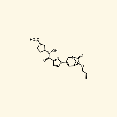 C=CCON1C(=O)N2CC(n3ccc(C(=O)N(O)[C@H]4CCN(C(=O)O)C4)n3)=CC1C2